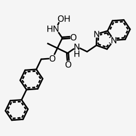 CC(OCc1ccc(-c2ccccc2)cc1)(C(=O)NO)C(=O)NCc1cn2ccccc2n1